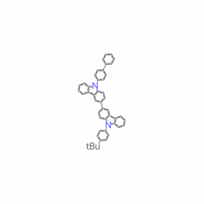 CC(C)(C)c1ccc(-n2c3ccccc3c3cc(-c4ccc5c(c4)c4ccccc4n5-c4ccc(-c5ccccc5)cc4)ccc32)cc1